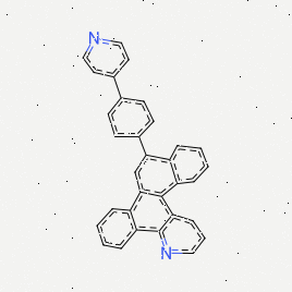 c1ccc2c(c1)c(-c1ccc(-c3ccncc3)cc1)cc1c3ccccc3c3ncccc3c21